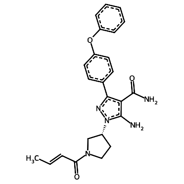 C/C=C/C(=O)N1CC[C@@H](n2nc(-c3ccc(Oc4ccccc4)cc3)c(C(N)=O)c2N)C1